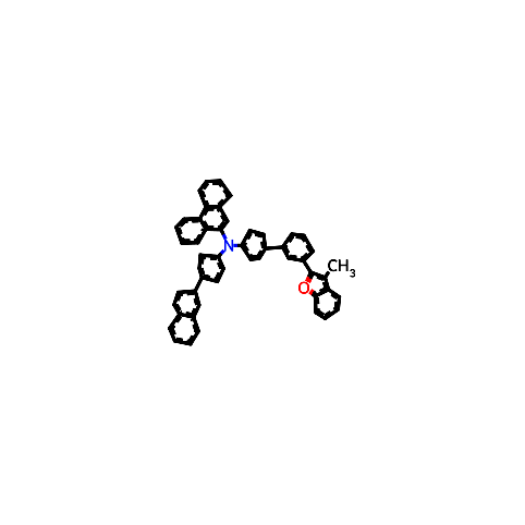 Cc1c(-c2cccc(-c3ccc(N(c4ccc(-c5ccc6ccccc6c5)cc4)c4cc5ccccc5c5ccccc45)cc3)c2)oc2ccccc12